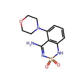 NC1=NS(=O)(=O)Nc2cccc(N3CCOCC3)c21